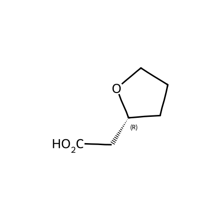 O=C(O)C[C@H]1CCCO1